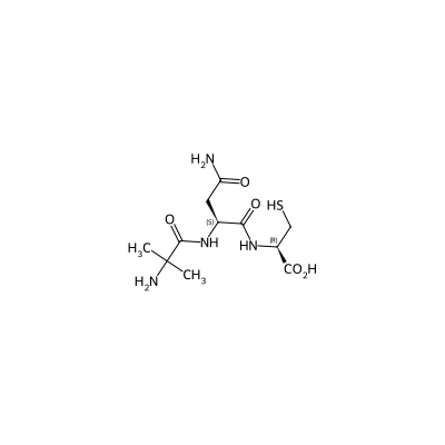 CC(C)(N)C(=O)N[C@@H](CC(N)=O)C(=O)N[C@@H](CS)C(=O)O